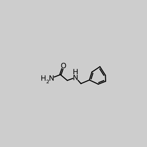 NC(=O)CNCc1ccccc1